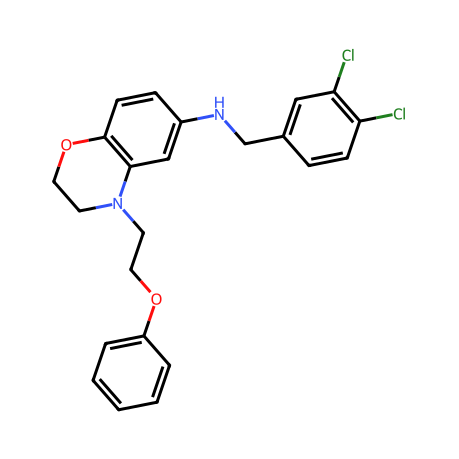 Clc1ccc(CNc2ccc3c(c2)N(CCOc2ccccc2)CCO3)cc1Cl